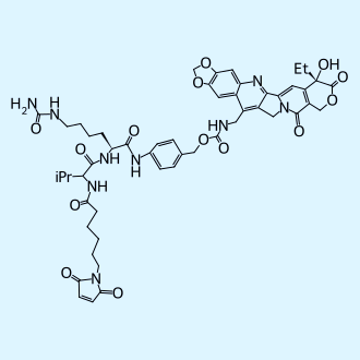 CC[C@@]1(O)C(=O)OCc2c1cc1n(c2=O)Cc2c-1nc1cc3c(cc1c2CNC(=O)OCc1ccc(NC(=O)[C@H](CCCCNC(N)=O)NC(=O)C(NC(=O)CCCCCN2C(=O)C=CC2=O)C(C)C)cc1)OCO3